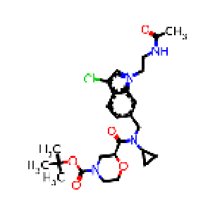 CC(=O)NCCn1cc(Cl)c2ccc(CN(C(=O)C3CN(C(=O)OC(C)(C)C)CCO3)C3CC3)cc21